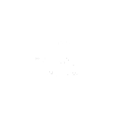 CCC[C@H](N)C(=O)O.CSC(C)NCC(=O)O